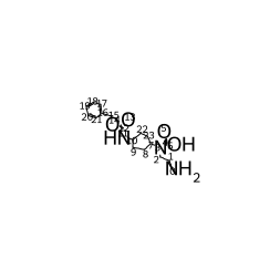 NCCN(C(=O)O)C1CCC(NC(=O)OCc2ccccc2)CC1